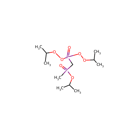 CC(C)OOP(=O)(CP(C)(=O)OC(C)C)OOC(C)C